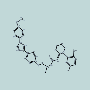 CCCc1ccc(C)cc1N1CCCS/C1=N\C(=O)NC(C)CCc1ccc(-c2ncn(-c3ccc(OC(F)(F)F)cc3)n2)cc1